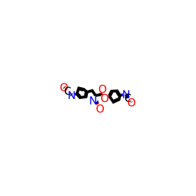 O=C=Nc1ccc(CC(N=C=O)C(=O)Oc2ccc(N=C=O)cc2)cc1